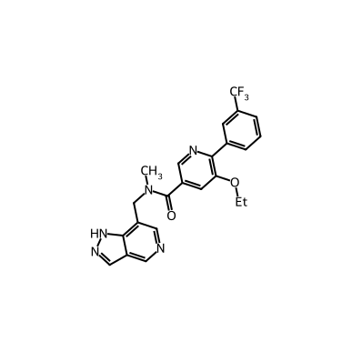 CCOc1cc(C(=O)N(C)Cc2cncc3cn[nH]c23)cnc1-c1cccc(C(F)(F)F)c1